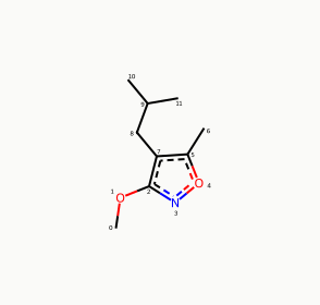 COc1noc(C)c1CC(C)C